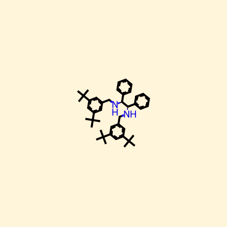 CC(C)(C)c1cc(CN[C@@H](c2ccccc2)[C@@H](NCc2cc(C(C)(C)C)cc(C(C)(C)C)c2)c2ccccc2)cc(C(C)(C)C)c1